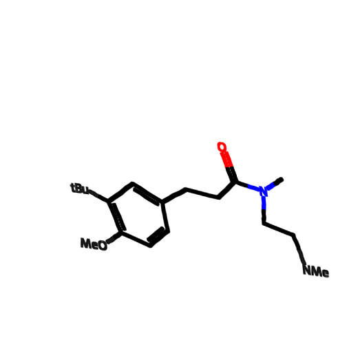 CNCCN(C)C(=O)CCc1ccc(OC)c(C(C)(C)C)c1